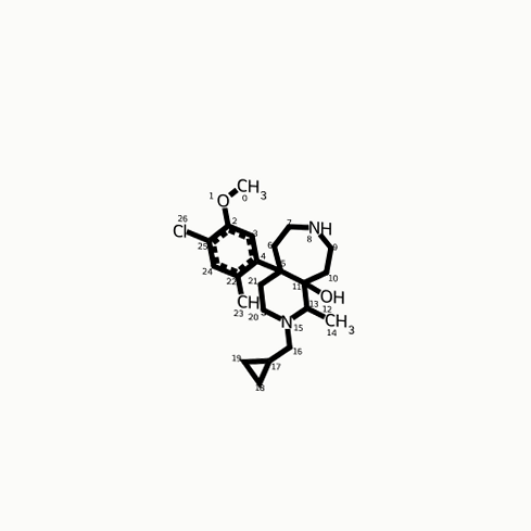 COc1cc(C23CCNCCC2(O)C(C)N(CC2CC2)CC3)c(C)cc1Cl